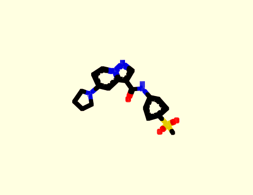 CS(=O)(=O)c1ccc(NC(=O)c2cnn3ccc(N4CCCC4)cc23)cc1